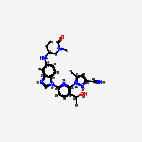 CCC(CN(C)C=O)Nc1ccc2c(c1)ncn2-c1ccc(C(C)O)c(-n2nc(C#N)cc2C)n1